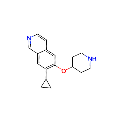 c1cc2cc(OC3CCNCC3)c(C3CC3)cc2cn1